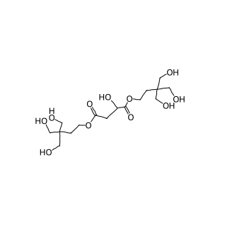 O=C(CC(O)C(=O)OCCC(CO)(CO)CO)OCCC(CO)(CO)CO